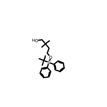 CC(C)(CO)CCO[Si](c1ccccc1)(c1ccccc1)C(C)(C)C